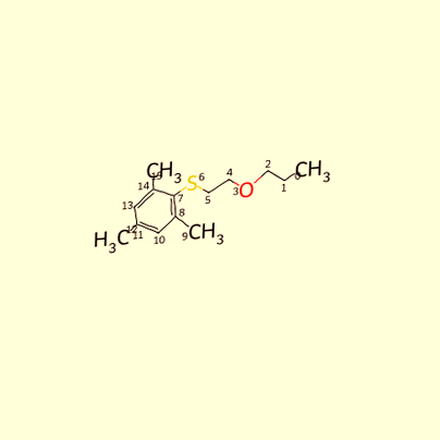 CCCOCCSc1c(C)cc(C)cc1C